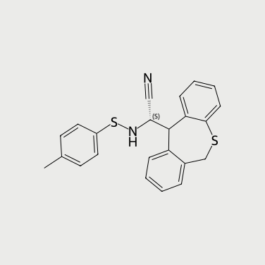 Cc1ccc(SN[C@H](C#N)C2c3ccccc3CSc3ccccc32)cc1